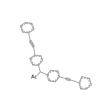 CC(=O)C(c1ccc(C#Cc2ccccc2)cc1)c1ccc(C#Cc2ccccc2)cc1